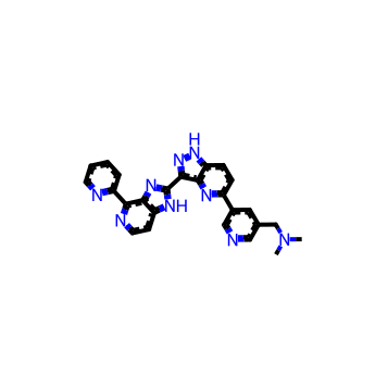 CN(C)Cc1cncc(-c2ccc3[nH]nc(-c4nc5c(-c6ccccn6)nccc5[nH]4)c3n2)c1